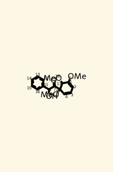 COC1=CC=CC(OC)(C(=O)C(O)c2ccccc2)C1OC